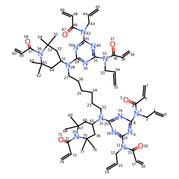 C=CCN(C(=O)C=C)c1nc(N(CC=C)C(=O)C=C)nc(N(CCCCCCN(c2nc(N(CC=C)C(=O)C=C)nc(N(CC=C)C(=O)C=C)n2)C2CC(C)(C)N(C(=O)C=C)C(C)(C)C2)C2CC(C)(C)N(C(=O)C=C)C(C)(C)C2)n1